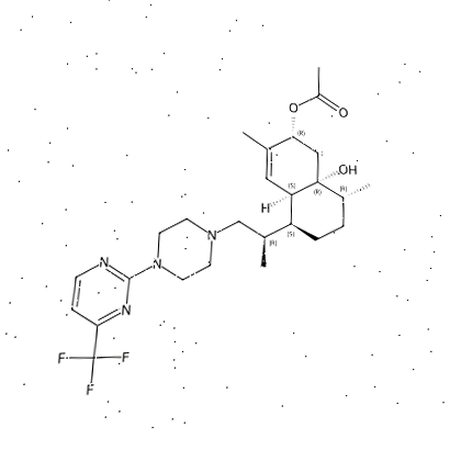 CC(=O)O[C@@H]1[C][C@@]2(O)[C@H](C)CC[C@@H]([C@@H](C)CN3CCN(c4nccc(C(F)(F)F)n4)CC3)[C@H]2C=C1C